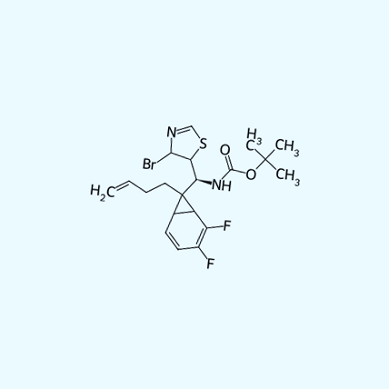 C=CCCC1([C@H](NC(=O)OC(C)(C)C)C2SC=NC2Br)C2C=CC(F)=C(F)C21